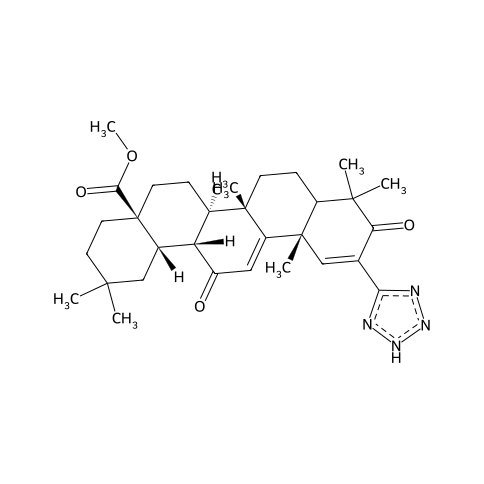 COC(=O)[C@]12CCC(C)(C)C[C@H]1[C@H]1C(=O)C=C3[C@@]4(C)C=C(c5nn[nH]n5)C(=O)C(C)(C)C4CC[C@@]3(C)[C@]1(C)CC2